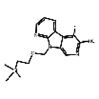 [C-]#[N+]c1ncc2c(c1F)c1cccnc1n2COCC[Si](C)(C)C